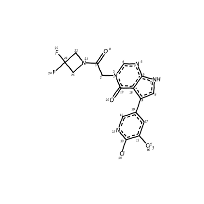 O=C(Cn1cnc2[nH]cc(-c3cnc(Cl)c(C(F)(F)F)c3)c2c1=O)N1CC(F)(F)C1